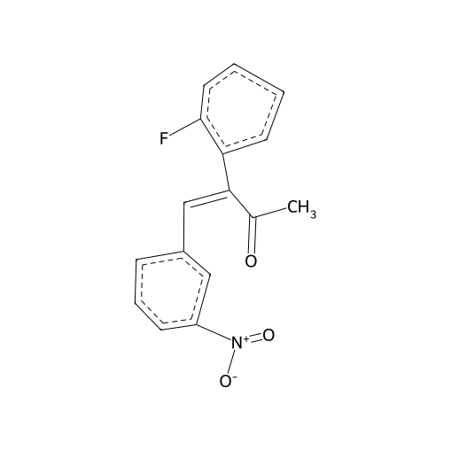 CC(=O)C(=Cc1cccc([N+](=O)[O-])c1)c1ccccc1F